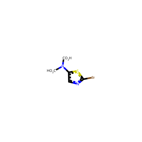 O=C(O)N(C(=O)O)c1cnc(Br)s1